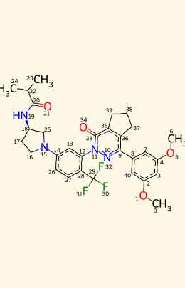 COc1cc(OC)cc(-c2nn(-c3cc(N4CC[C@@H](NC(=O)C(C)C)C4)ccc3C(F)(F)F)c(=O)c3c2CCC3)c1